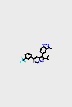 Cc1n[nH]c2ccc(-c3c(C(C)C)nn4cnc(-c5cccc(C(F)(F)F)c5)cc34)cc12